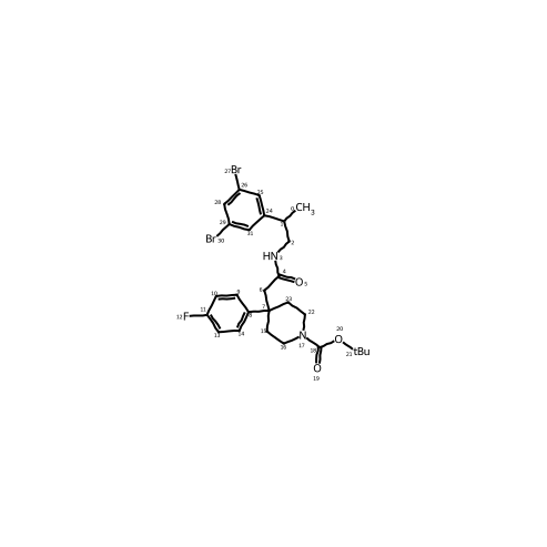 CC(CNC(=O)CC1(c2ccc(F)cc2)CCN(C(=O)OC(C)(C)C)CC1)c1cc(Br)cc(Br)c1